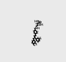 Cc1ccc(CC(C=Cc2ccc(CNCCCP(=O)(O)O)cc2)c2cccc(F)c2)cc1C